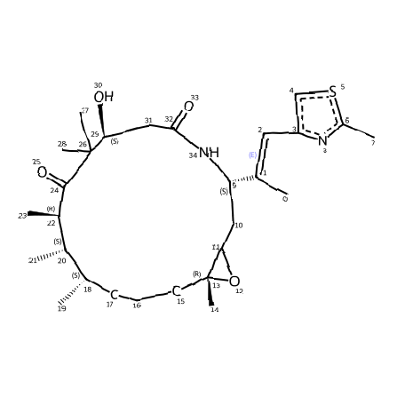 C/C(=C\c1csc(C)n1)[C@@H]1CC2O[C@]2(C)CCC[C@H](C)[C@H](C)[C@@H](C)C(=O)C(C)(C)[C@@H](O)CC(=O)N1